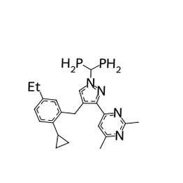 CCc1ccc(C2CC2)c(Cc2cn(C(P)P)nc2-c2cc(C)nc(C)n2)c1